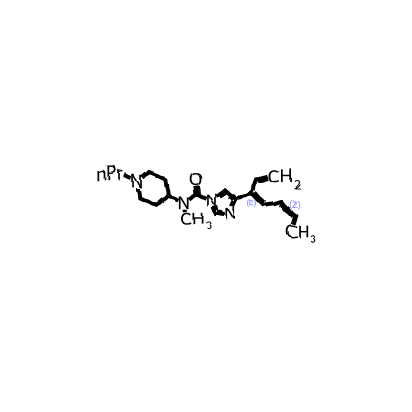 C=C/C(=C\C=C/C)c1cn(C(=O)N(C)C2CCN(CCC)CC2)cn1